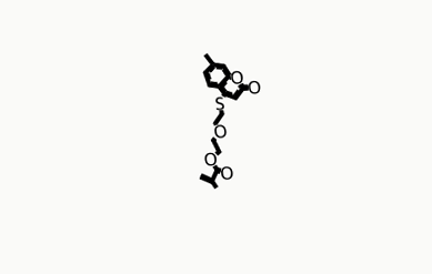 C=C(C)C(=O)OCCOCCSc1cc(=O)oc2cc(C)ccc12